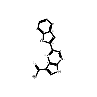 CC(C)(C)C(=O)c1c[nH]c2ncc(-c3cc4ccccc4[nH]3)nc12